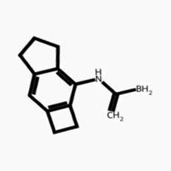 BC(=C)Nc1c2c(cc3c1CC3)CCC2